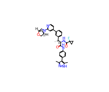 Cc1n[nH]c(C)c1-c1ccc(NC(=O)[C@H](NC(=O)C2(F)CC2)[C@H](C)c2cccc(-c3ccnc(N4C[C@@H]5C[C@H]4CO5)c3)c2)cc1